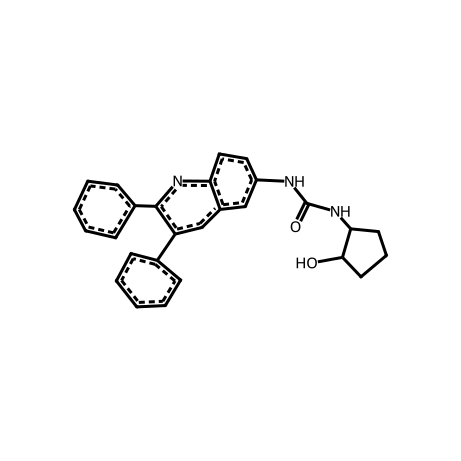 O=C(Nc1ccc2nc(-c3ccccc3)c(-c3ccccc3)cc2c1)NC1CCCC1O